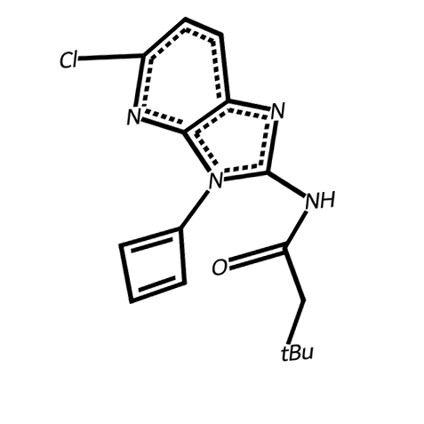 CC(C)(C)CC(=O)Nc1nc2ccc(Cl)nc2n1C1=CC=C1